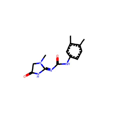 Cc1ccc(NC(=O)N=C2NC(=O)CN2C)cc1C